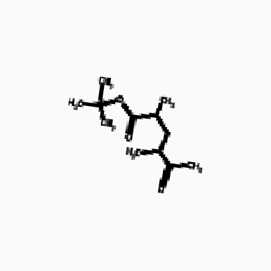 CC(=O)C(C)CC(C)C(=O)OC(C)(C)C